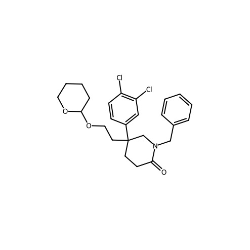 O=C1CCC(CCOC2CCCCO2)(c2ccc(Cl)c(Cl)c2)CN1Cc1ccccc1